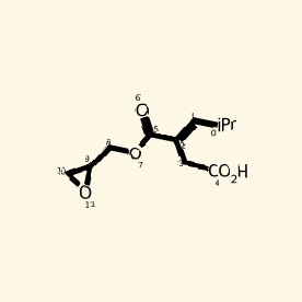 CC(C)C=C(CC(=O)O)C(=O)OCC1CO1